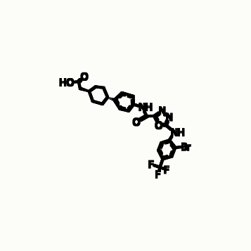 O=C(O)C[C@H]1CC[C@H](c2ccc(NC(=O)c3nnc(Nc4ccc(C(F)(F)F)cc4Br)o3)cc2)CC1